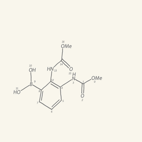 COC(=O)Nc1cccc(B(O)O)c1NC(=O)OC